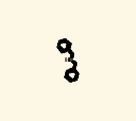 c1ccc(CPCc2ccccc2)cc1